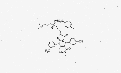 COC(=O)C1=C(C)N(c2cccc(C(F)(F)F)c2)c2nn(CCCS(=O)(=O)CCC[N+](C)(C)C)c(=O)n2C1c1ccc(C#N)cc1.Cc1ccc(S(=O)(=O)O)cc1